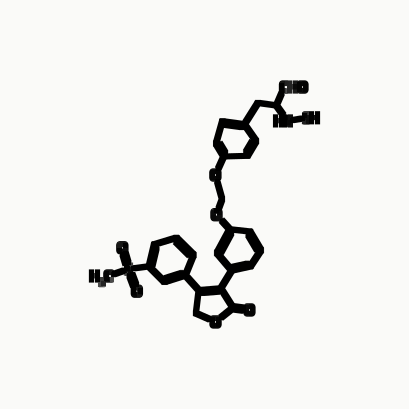 CS(=O)(=O)c1cccc(C2=C(c3cccc(OCOc4ccc(CC(C=O)NS)cc4)c3)C(=O)OC2)c1